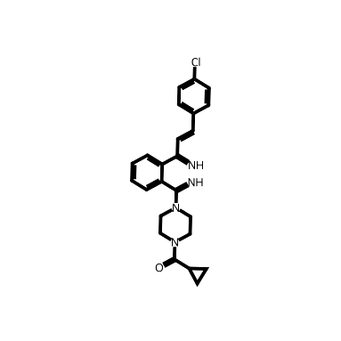 N=C(/C=C/c1ccc(Cl)cc1)c1ccccc1C(=N)N1CCN(C(=O)C2CC2)CC1